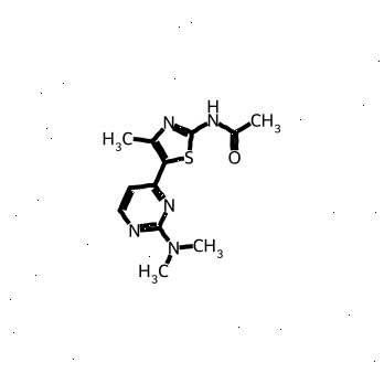 CC(=O)Nc1nc(C)c(-c2ccnc(N(C)C)n2)s1